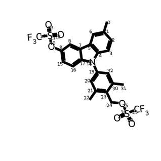 Cc1ccc2c(c1)c1cc(OS(=O)(=O)C(F)(F)F)ccc1n2-c1cc(C)c(COS(=O)(=O)C(F)(F)F)c(C)c1